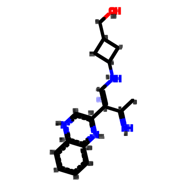 CC(=N)/C(=C\NC1CC(CO)C1)c1cnc2ccccc2n1